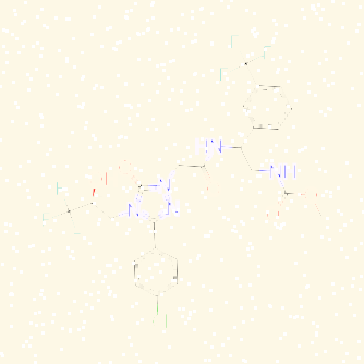 COC(=O)NCC(NC(=O)Cn1nc(-c2ccc(Cl)cc2)n(C[C@H](O)C(F)(F)F)c1=O)c1cccc(C(F)(F)F)c1